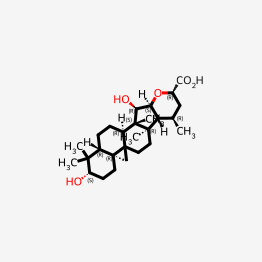 C[C@@H]1C[C@H](C(=O)O)O[C@H]2[C@H]1[C@@]1(C)CCC34C[C@@]35CC[C@H](O)C(C)(C)[C@@H]5CC[C@H]4[C@]1(C)[C@H]2O